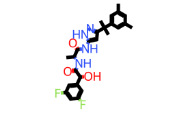 Cc1cc(C)cc(C(C)(C)c2cc(NC(=O)C(C)NC(=O)C(O)c3cc(F)cc(F)c3)[nH]n2)c1